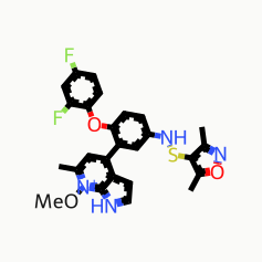 CO[n+]1c(C)cc(-c2cc(NSc3c(C)noc3C)ccc2Oc2ccc(F)cc2F)c2cc[nH]c21